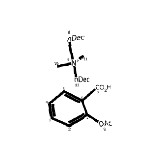 CC(=O)Oc1ccccc1C(=O)O.CCCCCCCCCC[N+](C)(C)CCCCCCCCCC